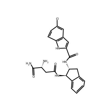 NC(=O)[C@H](N)CC(=O)N[C@@H]1c2ccccc2C[C@H]1NC(=O)c1cc2cc(Cl)ccc2[nH]1